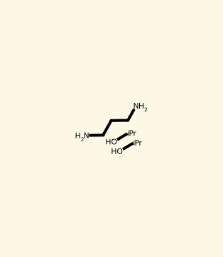 CC(C)O.CC(C)O.NCCCN